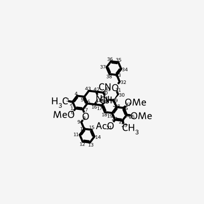 COc1c(C)cc2c(c1OCc1ccccc1)C1C3=Cc4c(OC(C)=O)c(C)c(OC)c(OC)c4[C@H](COCc4ccccc4)N3[C@@H](C#N)C(C2)N1C